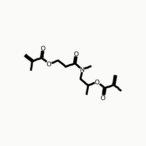 C=C(C)C(=O)OCCC(=O)N(C)CC(C)OC(=O)C(=C)C